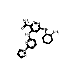 NC(=O)c1nnc(N[C@@H]2CCCC[C@@H]2N)cc1Nc1cccc(-n2cccn2)n1